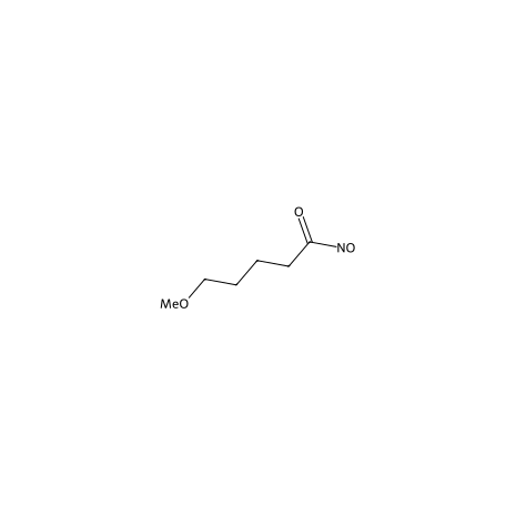 COCCCCC(=O)N=O